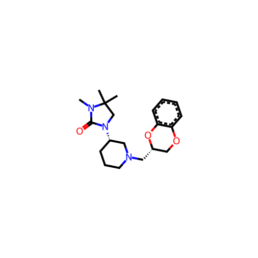 CN1C(=O)N([C@H]2CCCN(C[C@H]3COc4ccccc4O3)C2)CC1(C)C